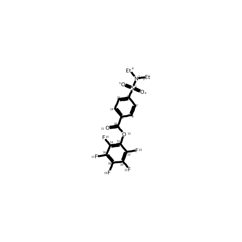 CCN(CC)S(=O)(=O)c1ccc(C(=O)Oc2c(F)c(F)c(F)c(F)c2F)cc1